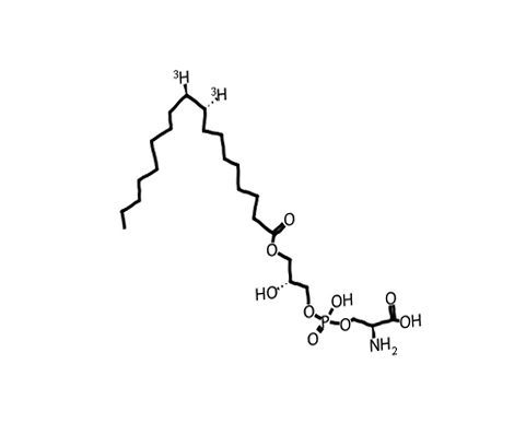 [3H][C@H](CCCCCCCC)[C@H]([3H])CCCCCCCC(=O)OC[C@@H](O)COP(=O)(O)OC[C@H](N)C(=O)O